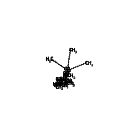 [C-]#[N+]CCOP(=S)(OC[C@H]1O[C@@H](n2cc(C)c(=O)n(C(=O)c3cc(OCCCCCCCCCCCCCCCCCC)c(OCCCCCCCCCCCCCCCCCC)c(OCCCCCCCCCCCCCCCCCC)c3)c2=O)CC1O[Si](C)(C)C(C)(C)C)OC1C[C@H](n2cc(C)c(=O)[nH]c2=O)O[C@@H]1CC